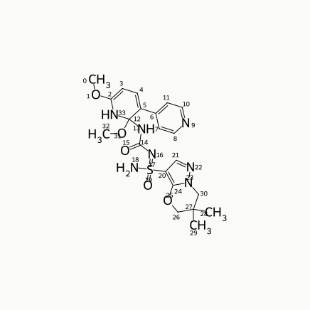 COC1=CC=C(c2ccncc2)C(NC(=O)N=S(N)(=O)c2cnn3c2OCC(C)(C)C3)(OC)N1